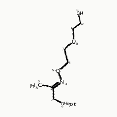 CCCCCCCCC(C)=NOCCOCCO